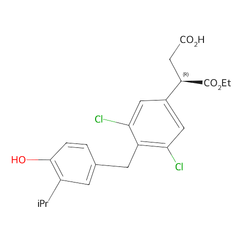 CCOC(=O)[C@H](CC(=O)O)c1cc(Cl)c(Cc2ccc(O)c(C(C)C)c2)c(Cl)c1